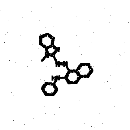 Cn1c(/N=N/c2c(Nc3ccccc3)ccc3ccccc23)nc2ccccc21